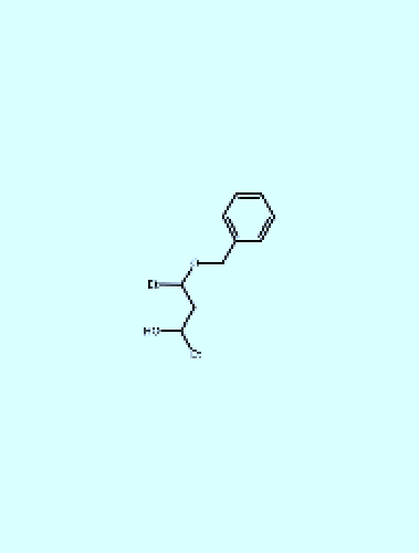 CCC(O)CC(CC)OCc1ccccc1